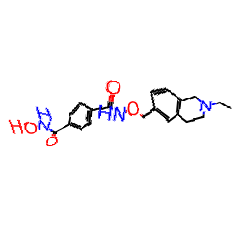 CCN1CCc2cc(CONC(=O)c3ccc(C(=O)NO)cc3)ccc2C1